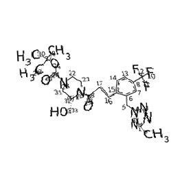 Cc1nnn(Cc2cc(C(F)(F)F)ccc2C=CC(=O)N2CCN(C(=O)OC(C)(C)C)C[C@H]2CO)n1